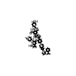 CC(C)c1ccccc1[C@H]1CCCN1C1CC2(CCN(c3ccc(C(=O)NS(=O)(=O)c4cc(N=O)c5c(c4)OC[C@H]([C@H]4CC[C@](C)(O)CC4)N5)c(Oc4cc5c(F)c[nH]c5nc4OC4CCN(C)CC4)c3)CC2)C1